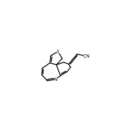 N#CC=C1CC=C2N=CC=CC3=CSCC32C1